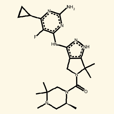 C[C@H]1CN(C)C(C)(C)CN1C(=O)N1Cc2c(Nc3nc(N)nc(C4CC4)c3F)n[nH]c2C1(C)C